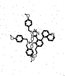 COc1ccc(CN(Cc2ccc(OC)cc2)S(=O)(=O)c2c(CCO)ccc(-c3cccc4ncccc34)c2-c2nnn(Cc3ccc(OC)cc3)n2)cc1